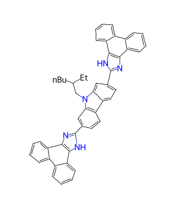 CCCCC(CC)Cn1c2cc(-c3nc4c5ccccc5c5ccccc5c4[nH]3)ccc2c2ccc(-c3nc4c5ccccc5c5ccccc5c4[nH]3)cc21